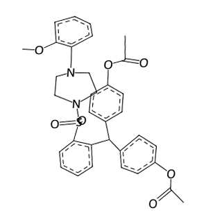 COc1ccccc1N1CCN(S(=O)(=O)c2ccccc2C(c2ccc(OC(C)=O)cc2)c2ccc(OC(C)=O)cc2)CC1